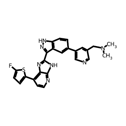 CN(C)Cc1cncc(-c2ccc3[nH]nc(-c4nc5c(-c6ccc(F)s6)ccnc5[nH]4)c3c2)c1